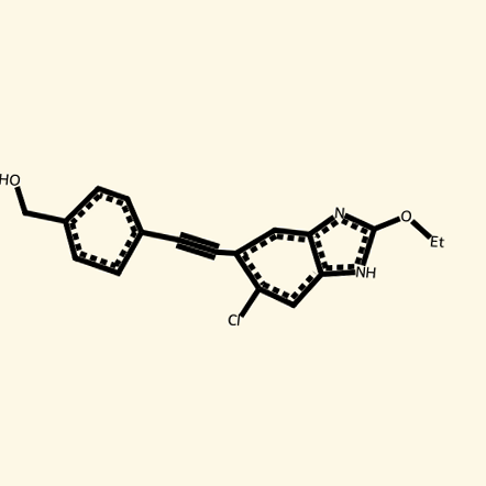 CCOc1nc2cc(C#Cc3ccc(CO)cc3)c(Cl)cc2[nH]1